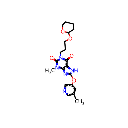 Cc1cncc(Oc2nc3c([nH]2)c(=O)n(CCCOC2CCCCO2)c(=O)n3C)c1